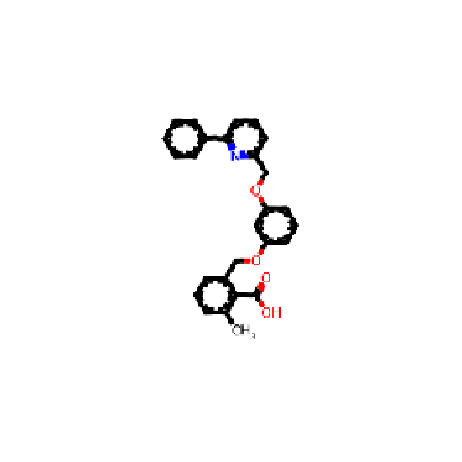 Cc1cccc(COc2cccc(OCc3cccc(-c4ccccc4)n3)c2)c1C(=O)O